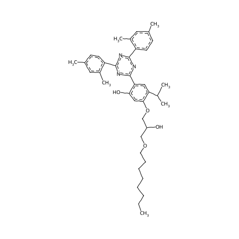 CCCCCCCCOCC(O)COc1cc(O)c(-c2nc(-c3ccc(C)cc3C)nc(-c3ccc(C)cc3C)n2)cc1C(C)C